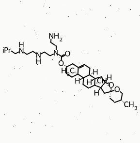 CC(C)CNCCNCCN(CCN)C(=O)O[C@H]1CC[C@@]2(C)C(=CC[C@H]3[C@@H]4C[C@@H]5O[C@]6(CC[C@@H](C)CO6)C[C@@H]5[C@@]4(C)CC[C@@H]32)C1